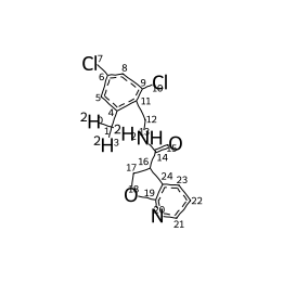 [2H]C([2H])([2H])c1cc(Cl)cc(Cl)c1CNC(=O)C1COc2ncccc21